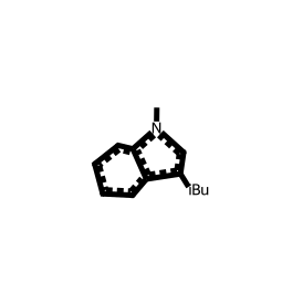 CCC(C)c1cn(C)c2ccccc12